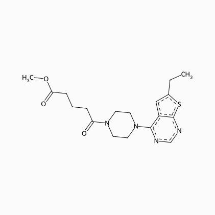 CCc1cc2c(N3CCN(C(=O)CCCC(=O)OC)CC3)ncnc2s1